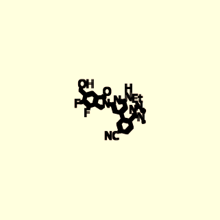 CCNc1cc(-c2cc(C#N)ccc2-c2nncn2C)cc(N2Cc3c(cc(CO)c(F)c3F)C2=O)n1